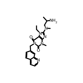 CCn1c(N(C)CC(C)N)nc2c1c(=O)n(Cc1ccc3cccnc3c1)c(=O)n2C